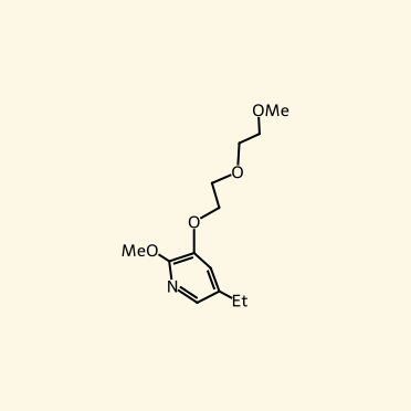 CCc1cnc(OC)c(OCCOCCOC)c1